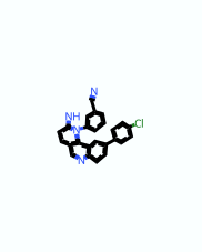 N#Cc1cccc(-n2c(=N)ccc3cnc4ccc(-c5ccc(Cl)cc5)cc4c32)c1